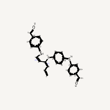 C=C/C=C(\C=C/Sc1ccc(C=O)cc1)Sc1ccc(Sc2ccc(C=O)cc2)cc1